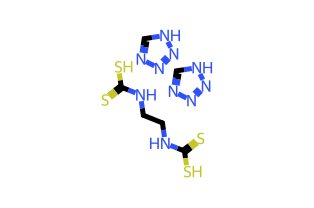 S=C(S)NCCNC(=S)S.c1nnn[nH]1.c1nnn[nH]1